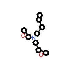 c1cc(-c2ccc(N(c3ccc(-c4ccc5oc6ccccc6c5c4)cc3)c3ccc4oc5ccccc5c4c3)cc2)cc(-c2ccc3ccccc3c2)c1